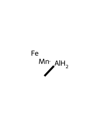 [CH3][AlH2].[Fe].[Mn]